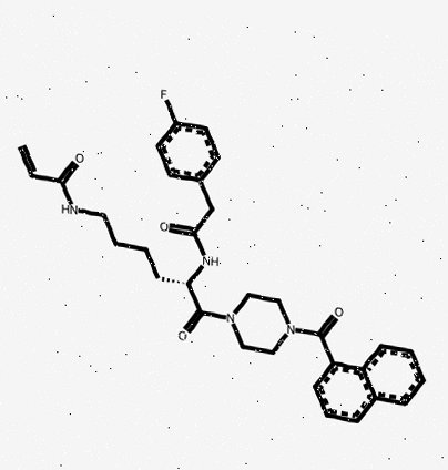 C=CC(=O)NCCCC[C@H](NC(=O)Cc1ccc(F)cc1)C(=O)N1CCN(C(=O)c2cccc3ccccc23)CC1